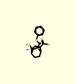 CCC(=O)C1=C[C@H](C)C2CCC1N(C(=O)Oc1ccccc1)C2